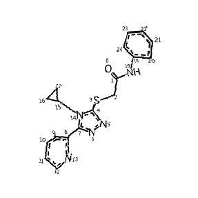 O=C(CSc1nnc(-c2ccccn2)n1C1CC1)Nc1ccccc1